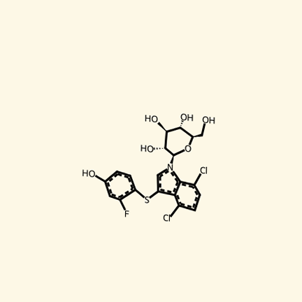 OC[C@H]1O[C@@H](n2cc(Sc3ccc(O)cc3F)c3c(Cl)ccc(Cl)c32)[C@H](O)[C@@H](O)[C@@H]1O